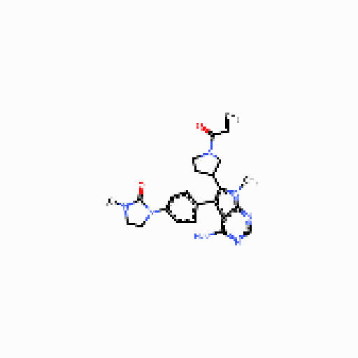 C=CC(=O)N1CCC(c2c(-c3ccc(N4CCN(C)C4=O)cc3)c3c(N)ncnc3n2C)C1